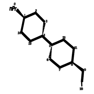 CCC[C@H]1CC[C@H]([C@H]2CC[C@H](CI)CC2)CC1